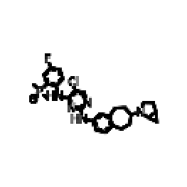 CP(C)(=O)c1cc(F)ccc1Nc1nc(Nc2ccc3c(c2)CCC(N2CCC4CC42)CC3)ncc1Cl